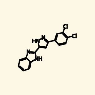 Clc1ccc(-c2cc(-c3nc4ccccc4[nH]3)[nH]n2)cc1Cl